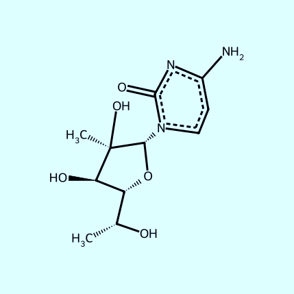 C[C@@H](O)[C@H]1O[C@@H](n2ccc(N)nc2=O)[C@](C)(O)[C@@H]1O